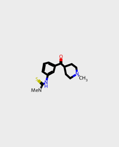 CNC(=S)Nc1cccc(C(=O)C2CCN(C)CC2)c1